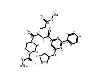 CCCCOC(=O)N1CCN(C(=O)[C@H](CCC(=O)OC(C)(C)C)NC(=O)c2cc(O[C@H]3CCOC3)nc(-c3ccccc3)n2)CC1